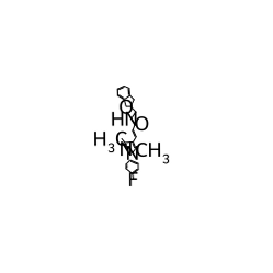 Cc1nn(-c2ccc(F)cc2)c(C)c1/C=C/C(=O)NCC1Cc2ccccc2O1